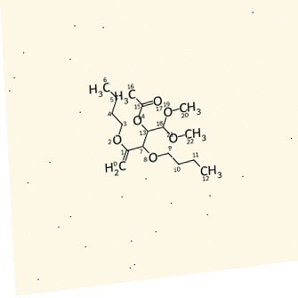 C=C(OCCCC)C(OCCCC)C(OC(C)=O)C(OC)OC